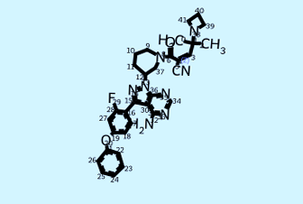 CC(C)(/C=C(/C#N)C(=O)N1CCCC(n2nc(-c3ccc(Oc4ccccc4)cc3F)c3c(N)ncnc32)C1)N1CCC1